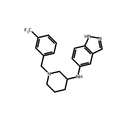 FC(F)(F)c1cccc(CN2CCCC(Nc3ccc4[nH]ncc4c3)C2)c1